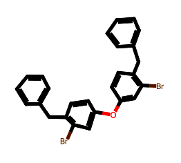 Brc1cc(Oc2ccc(Cc3ccccc3)c(Br)c2)ccc1Cc1ccccc1